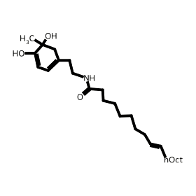 CCCCCCCCC=CCCCCCCCC(=O)NCCC1=CC=C(O)C(C)(O)C1